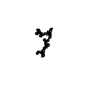 c1ccc(-c2cc(-c3ccccc3)nc(-c3ccc(-n4c5ccccc5c5c6c7ccc(-c8ccc9ccc(-c%10nc(-c%11ccccc%11)nc(-c%11ccc(-n%12c%13ccccc%13c%13c%14c%15ccccc%15n(-c%15ccccc%15)c%14ccc%13%12)cc%11)n%10)cc9c8)cc7n(-c7ccccc7)c6ccc54)cc3)c2)cc1